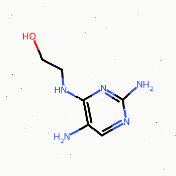 Nc1ncc(N)c(NCCO)n1